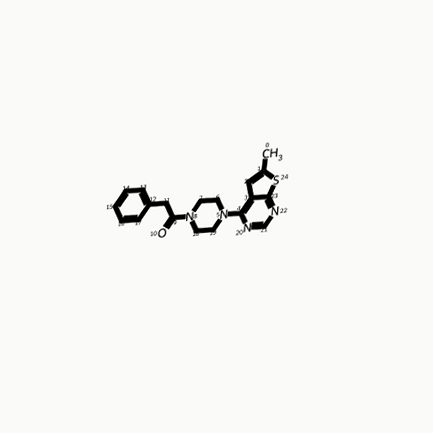 Cc1cc2c(N3CCN(C(=O)Cc4ccccc4)CC3)ncnc2s1